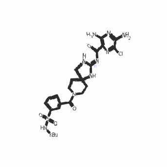 CCCCNS(=O)(=O)c1cccc(C(=O)N2CCC3(CC2)CN/C(=N\C(=O)c2nc(Cl)c(N)nc2N)N3)c1